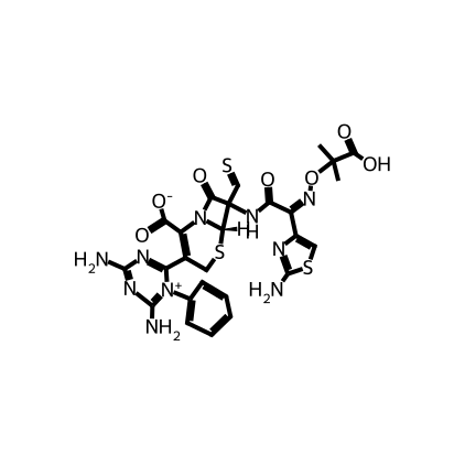 CC(C)(O/N=C(\C(=O)NC1(C=S)C(=O)N2C(C(=O)[O-])=C(c3nc(N)nc(N)[n+]3-c3ccccc3)CS[C@H]21)c1csc(N)n1)C(=O)O